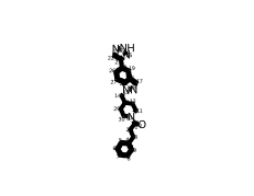 O=C(CCc1ccccc1)N1CCC(Cn2ncc3cc(-c4cn[nH]n4)ccc32)CC1